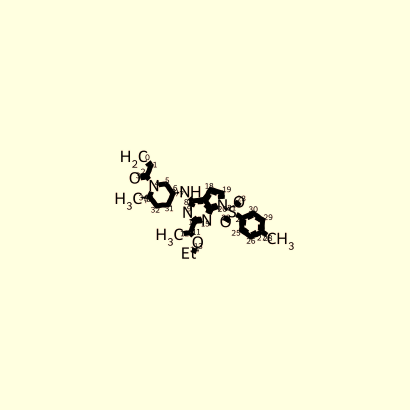 C=CC(=O)N1C[C@H](Nc2nc(C(C)OCC)nc3c2ccn3S(=O)(=O)c2ccc(C)cc2)CC[C@@H]1C